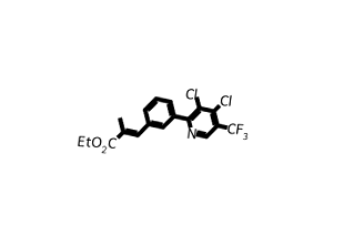 CCOC(=O)C(C)=Cc1cccc(-c2ncc(C(F)(F)F)c(Cl)c2Cl)c1